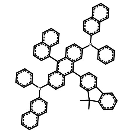 CC1(C)c2ccccc2-c2ccc(-c3c4cc(N(c5ccccc5)c5ccc6ccccc6c5)ccc4c(-c4cccc5ccccc45)c4cc(N(c5ccccc5)c5ccc6ccccc6c5)ccc34)cc21